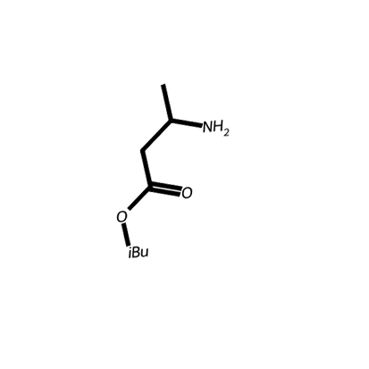 CCC(C)OC(=O)CC(C)N